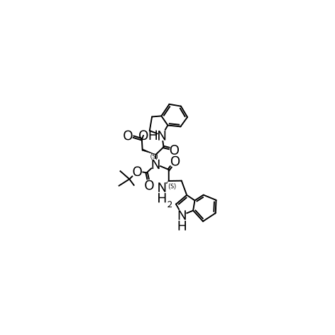 CC(C)(C)OC(=O)N(C(=O)[C@@H](N)Cc1c[nH]c2ccccc12)[C@@H](CC(=O)O)C(=O)N1CCc2ccccc21